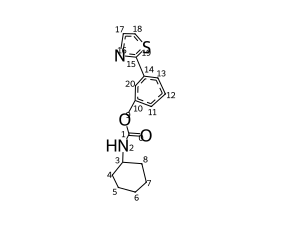 O=C(NC1CCCCC1)Oc1cccc(-c2nccs2)c1